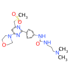 CN(C)CCCNC(=O)Nc1ccc(-c2nc(CS(C)(=O)=O)cc(N3CCOCC3)n2)cc1